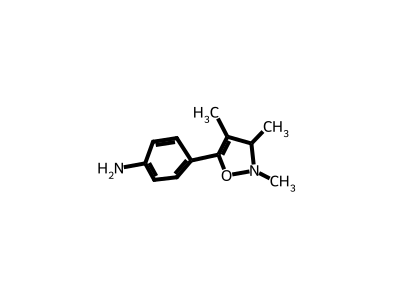 CC1=C(c2ccc(N)cc2)ON(C)C1C